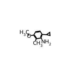 COc1ccc(C2CC2)c(N)c1C